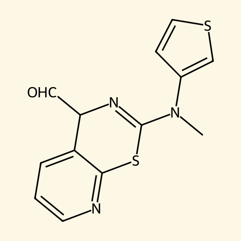 CN(C1=NC(C=O)c2cccnc2S1)c1ccsc1